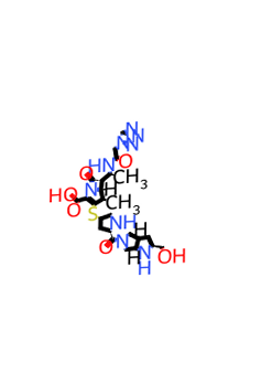 C[C@@H](NC(=O)Cn1cnnn1)[C@H]1C(=O)N2C(C(=O)O)=C(S[C@@H]3CN[C@H](C(=O)N4C[C@@H]5C[C@@H](CO)N[C@@H]5C4)C3)[C@H](C)[C@H]12